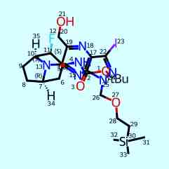 CC(C)(C)OC(=O)N[C@H]1C[C@H]2CC[C@@H]([C@H]1F)N2c1nc2c(nc1CO)c(I)nn2COCC[Si](C)(C)C